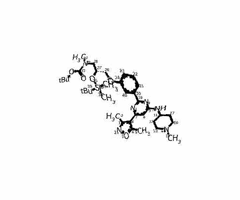 Cc1noc(C)c1-c1cc(NC2CCN(C)CC2)nc(-c2cccc(OC[C@@H](CN(C)C(=O)OC(C)(C)C)O[Si](C)(C)C(C)(C)C)c2)n1